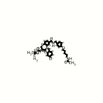 CC(=O)NCCCCCOc1ccc(CNC(=O)c2ccc3c(c2)N(Cc2ccc(Cl)cc2)C(=O)[C@@H](NC(=O)OC(C)(C)C)CS3)cc1